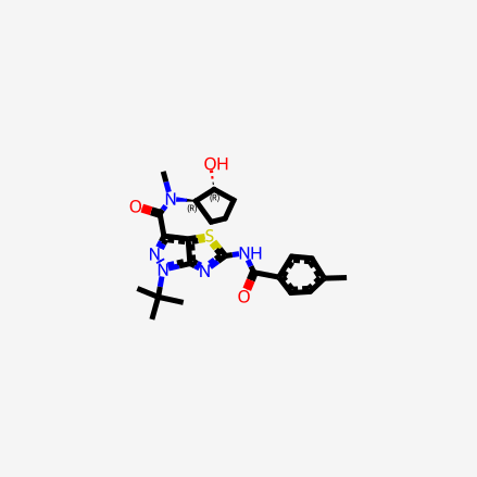 Cc1ccc(C(=O)Nc2nc3c(s2)c(C(=O)N(C)[C@@H]2CCC[C@H]2O)nn3C(C)(C)C)cc1